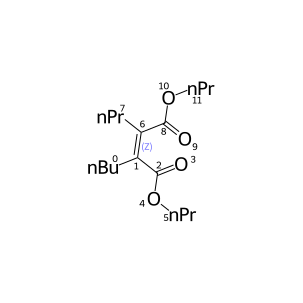 CCCC/C(C(=O)OCCC)=C(\CCC)C(=O)OCCC